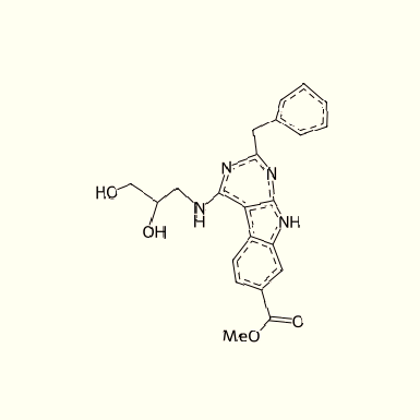 COC(=O)c1ccc2c(c1)[nH]c1nc(Cc3ccccc3)nc(NCC(O)CO)c12